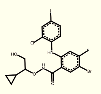 O=C(NOC(CO)C1CC1)c1cc(Br)c(F)cc1Nc1ccc(I)cc1Cl